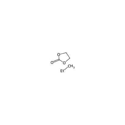 CCC.O=C1OCCO1